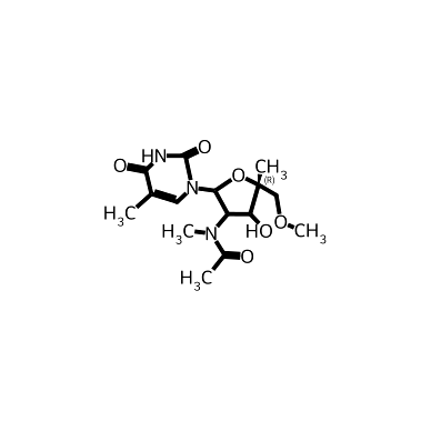 COC[C@@]1(C)OC(n2cc(C)c(=O)[nH]c2=O)C(N(C)C(C)=O)C1O